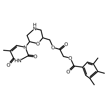 Cc1cc(C(=O)OCC(=O)OCC2CNCC(n3cc(C)c(=O)[nH]c3=O)O2)cc(C)c1C